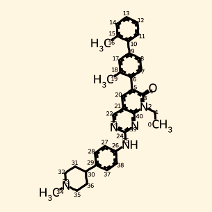 CCn1c(=O)c(-c2ccc(-c3ccccc3C)cc2C)cc2cnc(Nc3ccc(C4CCN(C)CC4)cc3)nc21